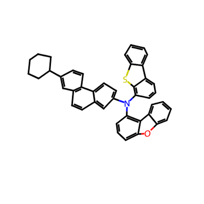 c1ccc2c(c1)oc1cccc(N(c3ccc4c(ccc5cc(C6CCCCC6)ccc54)c3)c3cccc4c3sc3ccccc34)c12